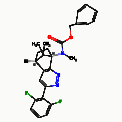 CN(C(=O)OCc1ccccc1)[C@]12CC[C@H](c3cc(-c4c(F)cccc4F)nnc31)C2(C)C